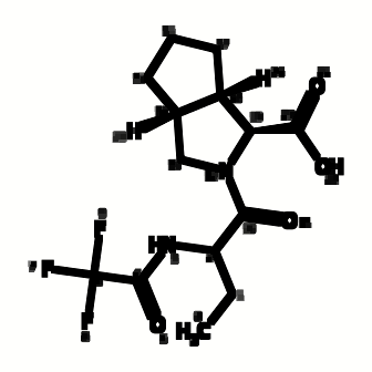 CCC(NC(=O)C(F)(F)F)C(=O)N1C[C@@H]2CCC[C@@H]2[C@H]1C(=O)O